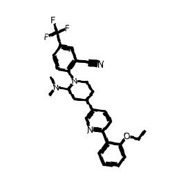 CCOc1ccccc1-c1ccc(C2CCN(c3ccc(C(F)(F)F)cc3C#N)C(N(C)C)C2)cn1